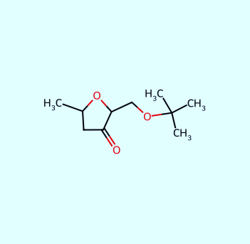 CC1CC(=O)C(COC(C)(C)C)O1